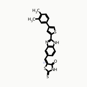 Cc1ccc(-c2csc(-c3nc4cc(/C=C5/SC(=S)NC5=O)ccc4[nH]3)c2)cc1C